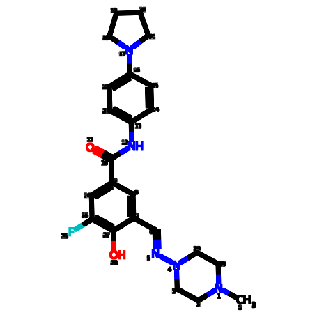 CN1CCN(N=Cc2cc(C(=O)Nc3ccc(N4CCCC4)cc3)cc(F)c2O)CC1